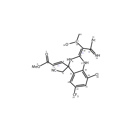 COC(=O)/C=C/C1(CC#N)N/C(=C(/C(=N)C(C)=O)[S+](C)[O-])Nc2c(Cl)cc(C(F)(F)F)cc21